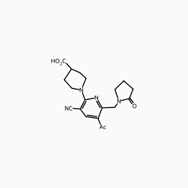 CC(=O)c1cc(C#N)c(N2CCC(C(=O)O)CC2)nc1CN1CCCC1=O